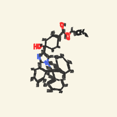 CCOC(=O)C1CCC(O)(c2cn(C(c3ccccc3)(c3ccccc3)c3ccccc3)cn2)CC1